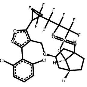 O=S(=O)(O[C@@H]1[C@@H]2CC[C@H]1C[C@H](OCc1c(-c3c(Cl)cccc3Cl)noc1C1CC1)C2)C(F)(F)C(F)(F)C(F)(F)C(F)(F)F